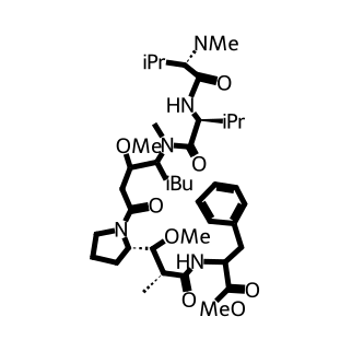 CCC(C)C(C(CC(=O)N1CCC[C@H]1C(OC)[C@@H](C)C(=O)NC(Cc1ccccc1)C(=O)OC)OC)N(C)C(=O)[C@@H](NC(=O)[C@@H](NC)C(C)C)C(C)C